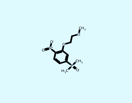 COCCOc1cc(P(C)(C)=O)ccc1[N+](=O)[O-]